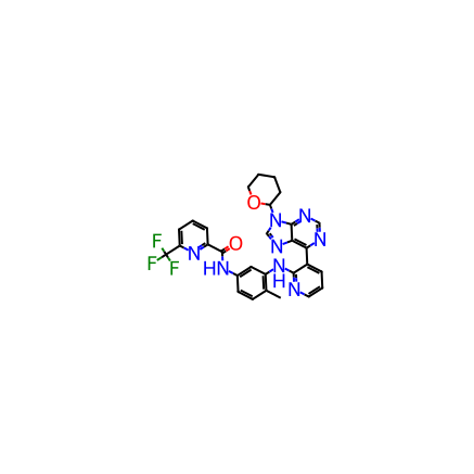 Cc1ccc(NC(=O)c2cccc(C(F)(F)F)n2)cc1Nc1ncccc1-c1ncnc2c1ncn2C1CCCCO1